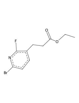 CCOC(=O)CCc1ccc(Br)nc1F